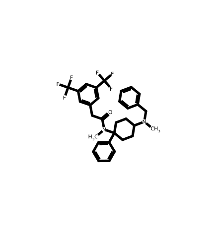 CN(Cc1ccccc1)C1CCC(c2ccccc2)(N(C)C(=O)Cc2cc(C(F)(F)F)cc(C(F)(F)F)c2)CC1